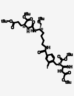 CC(C)(C)OC[C@H](CCCCNC(=O)c1ccc(CN(C(=N)NC(=O)OC(C)(C)C)C(=O)OC(C)(C)C)c(I)c1)NC(=O)N[C@@H](CCC(=O)OC(C)(C)C)C(=O)OC(C)(C)C